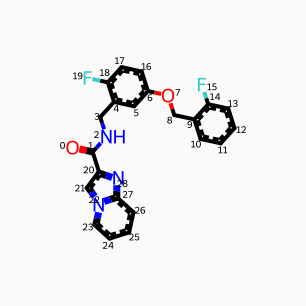 O=C(NCc1cc(OCc2ccccc2F)ccc1F)c1cn2ccccc2n1